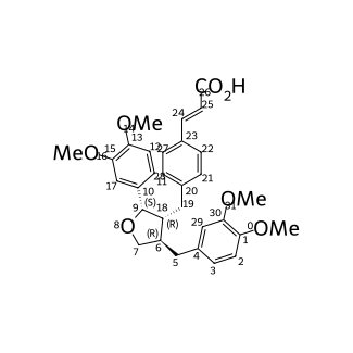 COc1ccc(C[C@H]2CO[C@H](c3ccc(OC)c(OC)c3)[C@@H]2Cc2ccc(C=CC(=O)O)cc2)cc1OC